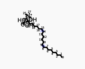 CCCCCCCC/C=C\CCCC/C=C\CCCCCC(O)(C[N+](C)(C)C)P(=O)(O)O